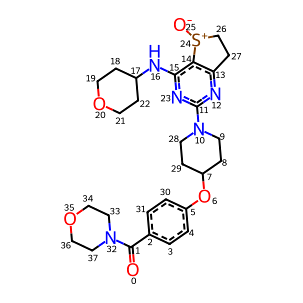 O=C(c1ccc(OC2CCN(c3nc4c(c(NC5CCOCC5)n3)[S+]([O-])CC4)CC2)cc1)N1CCOCC1